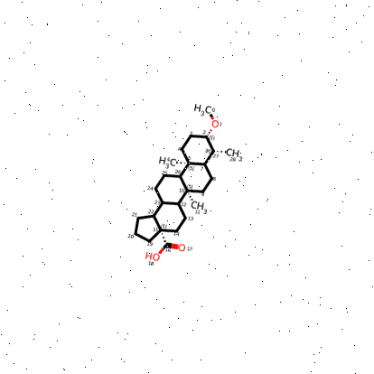 CO[C@H]1CC[C@@]2(C)C(CC[C@@]3(C)C4CC[C@@]5(C(=O)O)CCCC5C4CCC32)[C@H]1C